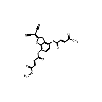 COC(=O)/C=C/C(=O)Oc1ccc(OC(=O)/C=C/C(C)=O)c2c1SC(=C(C#N)C#N)S2